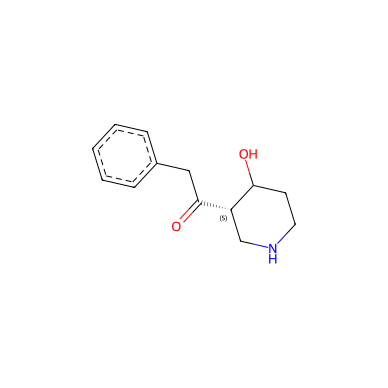 O=C(Cc1ccccc1)[C@H]1CNCCC1O